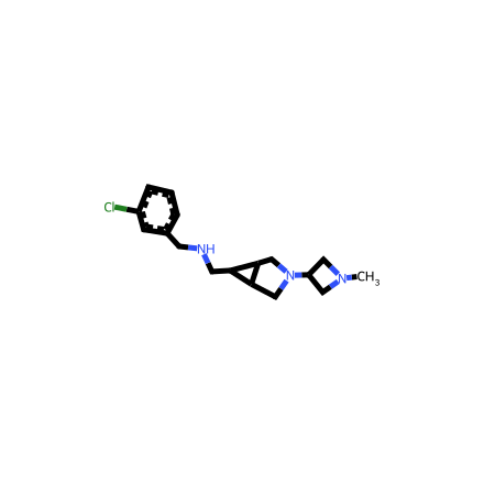 CN1CC(N2CC3C(CNCc4cccc(Cl)c4)C3C2)C1